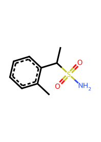 Cc1ccccc1C(C)S(N)(=O)=O